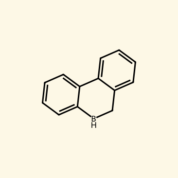 B1Cc2ccccc2-c2ccccc21